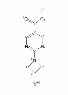 CO[N+](=O)c1cnc(N2CC(O)C2)nc1